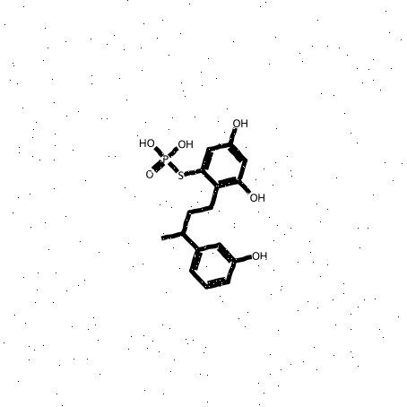 CC(CCc1c(O)cc(O)cc1SP(=O)(O)O)c1cccc(O)c1